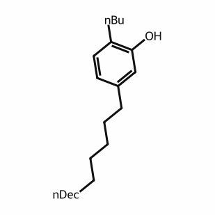 CCCCCCCCCCCCCCCc1ccc(CCCC)c(O)c1